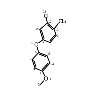 COc1ccc(Oc2ccc(Cl)c(Cl)c2)cc1